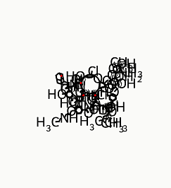 CCCNCCOc1ccc(C(=O)NC(=O)C[C@@H]2CC(=O)[C@H](NC(=O)[C@H](CC)CC(C)C)[C@H](O)c3ccc(c(Cl)c3)Oc3cc4cc(c3O[C@@H]3O[C@H](CO)[C@@H](O)[C@H](O)[C@H]3O[C@H]3C[C@](C)(N)[C@H](O)[C@H](C)O3)Oc3ccc(cc3Cl)[C@@H](O)[C@@H]3NC(=O)[C@H](CC(=O)[C@@H]4NC2=O)c2ccc(O)c(c2)-c2c(O)cc(O)cc2[C@@H](C(=O)CC2C4CC5CC(C4)CC2C5)NC3=O)cc1